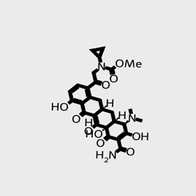 COC(=O)N(CC(=O)c1ccc(O)c2c1C[C@H]1C[C@H]3[C@@H](N(C)C)C(O)=C(C(N)=O)C(=O)[C@@]3(O)C(O)=C1C2=O)C1CC1